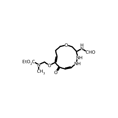 CCOC(=O)N(C)CO/C1=C\CCOCC(NC=O)NN/C=C\C1=O